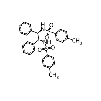 Cc1ccc(S(=O)(=O)N[C@H](c2ccccc2)[C@@H](NS(=O)(=O)c2ccc(C)cc2)c2ccccc2)cc1